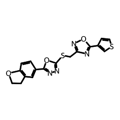 c1cc(-c2nc(CSc3nnc(-c4ccc5c(c4)CCO5)o3)no2)cs1